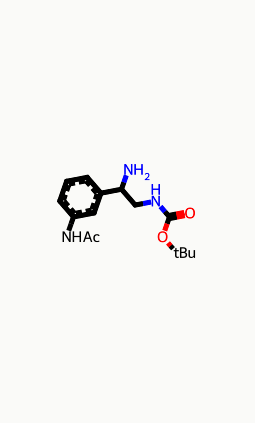 CC(=O)Nc1cccc(C(N)CNC(=O)OC(C)(C)C)c1